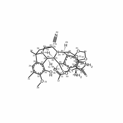 C=C(N)[C@]1(N)CS[C@@H]2c3c(OC(C)=O)c(C)c4c(c3[C@H](COC1=O)N1[C@@H]2[C@H]2c3c(cc(C)c(OC)c3O)C3(C)C[C@@]1(C#N)CN23)OCO4